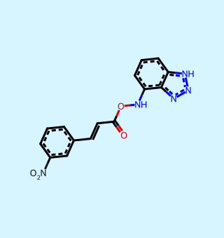 O=C(C=Cc1cccc([N+](=O)[O-])c1)ONc1cccc2[nH]nnc12